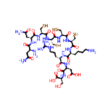 N=C(N)NCCC[C@H](NC(=O)[C@H](CCCCN)NC(=O)[C@H](CS)NC(=O)[C@H](CS)NC(=O)[C@H](CS)NC(=O)[C@H](CS)NC(=O)[C@H](CC(N)=O)NC(=O)[C@@H](N)CC(N)=O)C(=O)N[C@@H](CC(=O)O)C(=O)N[C@@H](CO)C(=O)O